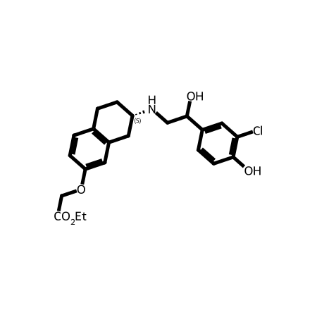 CCOC(=O)COc1ccc2c(c1)C[C@@H](NCC(O)c1ccc(O)c(Cl)c1)CC2